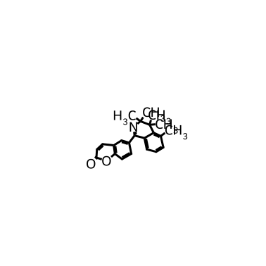 Cc1cccc2c1C(C)(C)C(C)(C)N=C2c1ccc2oc(=O)ccc2c1